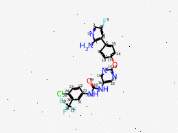 Nc1ncc(F)cc1-c1ccc(Oc2ncc(NC(=O)Nc3ccc(Cl)c(C(F)(F)F)c3)cn2)cc1